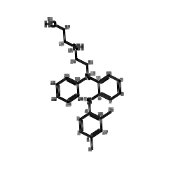 Cc1ccc(Sc2ccccc2N(CCNCCO)c2ccccc2)c(C)c1